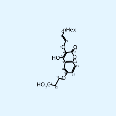 CCCCCCC=COc1c(O)c2cc(OCCC(=O)O)ccc2oc1=O